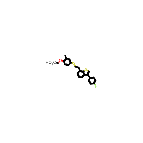 Cc1cc(SCCc2cccc3c(-c4ccc(F)cc4)csc23)ccc1OCC(=O)O